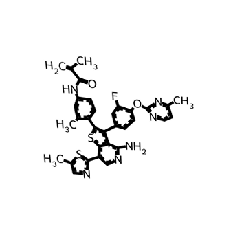 C=C(C)C(=O)Nc1ccc(-c2sc3c(-c4ncc(C)s4)cnc(N)c3c2-c2ccc(Oc3nccc(C)n3)c(F)c2)c(C)c1